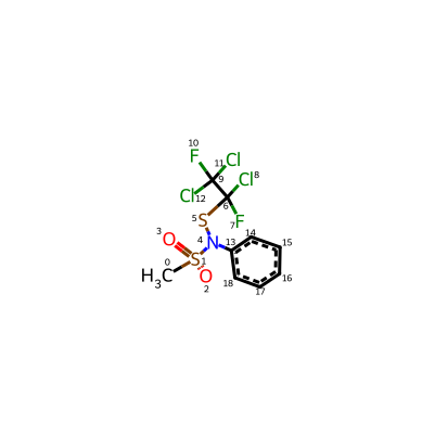 CS(=O)(=O)N(SC(F)(Cl)C(F)(Cl)Cl)c1ccccc1